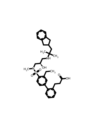 CCc1cc(-c2ccccc2CCC(=O)O)ccc1S(=O)(=O)N(C)C[C@H](O)CNC(C)(C)CC1Cc2ccccc2C1